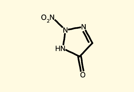 O=c1cnn([N+](=O)[O-])[nH]1